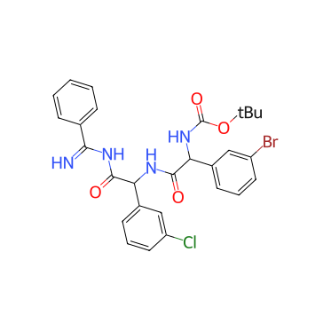 CC(C)(C)OC(=O)NC(C(=O)NC(C(=O)NC(=N)c1ccccc1)c1cccc(Cl)c1)c1cccc(Br)c1